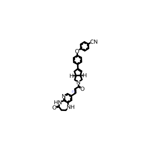 N#Cc1ccc(Oc2ccc(C3=C[C@@H]4CN(C(=O)/C=C/c5cnc6c(c5)NCCC(=O)N6)C[C@@H]4C3)cc2)cc1